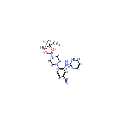 CC(C)(C)OC(=O)N1CCN(c2ccc(C#N)cc2Nc2ncccn2)CC1